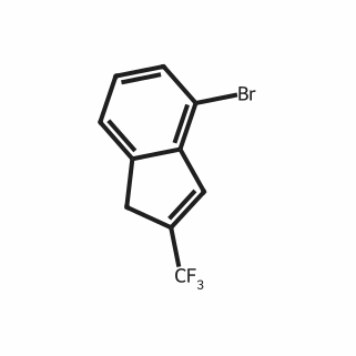 FC(F)(F)C1=Cc2c(Br)cccc2C1